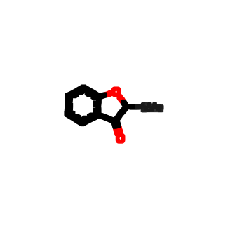 CSC1Oc2ccccc2C1=O